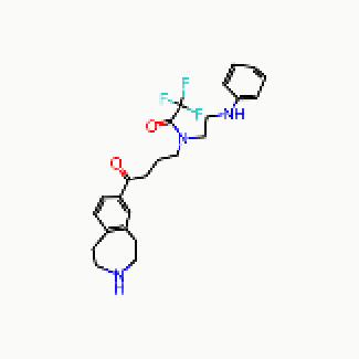 O=C(CCCN(CCNc1ccccc1)C(=O)C(F)(F)F)c1ccc2c(c1)CCNCC2